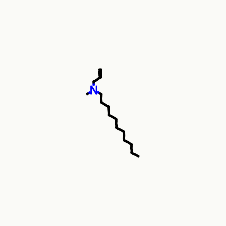 C=CCN(C)CCCCCCCCCCC